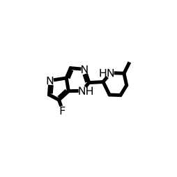 CC1CCCC(c2ncc3ncc(F)c-3[nH]2)N1